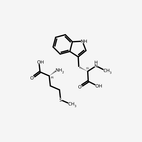 CN[C@@H](Cc1c[nH]c2ccccc12)C(=O)O.CSCC[C@@H](N)C(=O)O